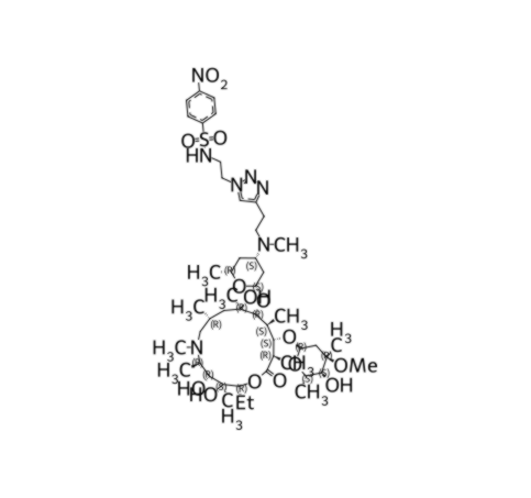 CC[C@H]1OC(=O)[C@H](C)[C@@H](O[C@H]2C[C@@](C)(OC)[C@@H](O)[C@H](C)O2)[C@H](C)[C@@H](O[C@H]2C[C@@H](N(C)CCc3cn(CCNS(=O)(=O)c4ccc([N+](=O)[O-])cc4)nn3)C[C@@H](C)O2)[C@](C)(O)C[C@@H](C)CN(C)[C@H](C)[C@@H](O)[C@]1(C)O